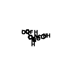 COc1ccc(F)c(-c2ccc3[nH]nc(NC(=O)C[C@@H]4CCCNC4)c3c2)c1